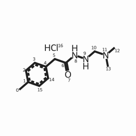 Cc1ccc(CC(=O)NNCN(C)C)cc1.Cl